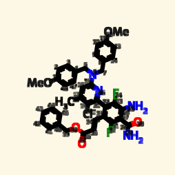 COc1ccc(CN(Cc2ccc(OC)cc2)c2cc(C)c(C(F)(F)F)c(-c3c(F)c(N)c(C(N)=O)c(F)c3C=CC(=O)OCc3ccccc3)n2)cc1